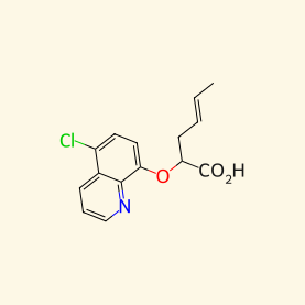 CC=CCC(Oc1ccc(Cl)c2cccnc12)C(=O)O